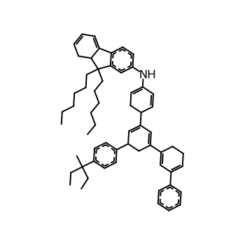 CCCCCCC1(CCCCCC)c2cc(NC3=CCC(C4=CC(c5ccc(C(C)(CC)CC)cc5)CC(C5=CC(c6ccccc6)=CCC5)=C4)C=C3)ccc2C2=CC=CCC21